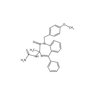 COc1ccc(CN2C(=O)C(C)(NC(N)=S)N=C(c3ccccc3)c3ccccc32)cc1